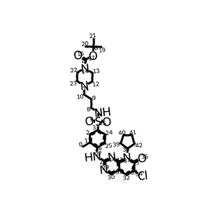 Cc1cc(S(=O)(=O)NCCCN2CCN(C(=O)OC(C)(C)C)CC2)ccc1Nc1ncc2cc(Cl)c(=O)n(C3CCCC3)c2n1